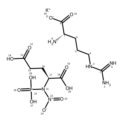 N=C(N)NCCC[C@H](N)C(=O)[O-].O=C(O)CC[C@@H](C(=O)O)N([N+](=O)[O-])P(=O)(O)O.[K+]